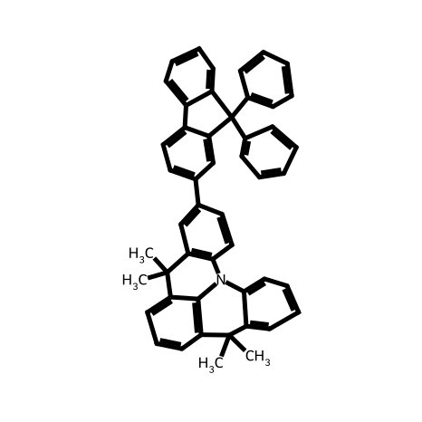 CC1(C)c2ccccc2N2c3ccc(-c4ccc5c(c4)C(c4ccccc4)(c4ccccc4)c4ccccc4-5)cc3C(C)(C)c3cccc1c32